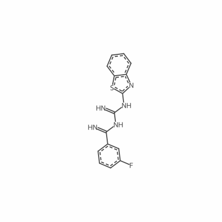 N=C(NC(=N)c1cccc(F)c1)Nc1nc2ccccc2s1